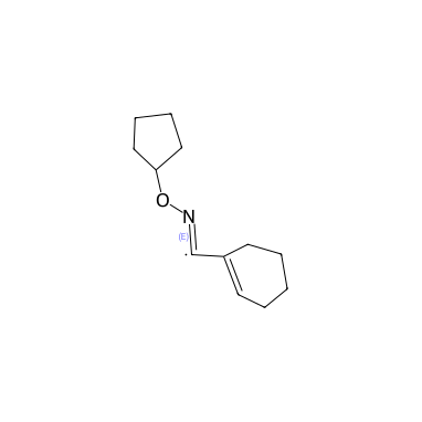 [C](=N\OC1CCCC1)/C1=CCCCC1